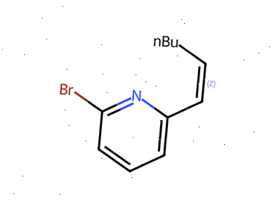 CCCC/C=C\c1cccc(Br)n1